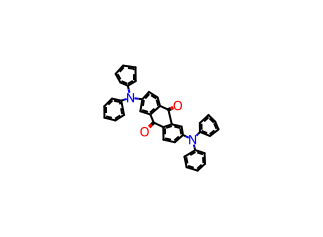 O=C1c2ccc(N(c3ccccc3)c3ccccc3)cc2C(=O)c2ccc(N(c3ccccc3)c3ccccc3)cc21